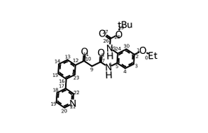 CCOc1ccc(NC(=O)CC(=O)c2cccc(-c3cccnc3)c2)c(NC(=O)OC(C)(C)C)c1